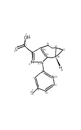 O=C(O)c1nn(-c2cc(Cl)ccn2)c2c1CC1C[C@H]21